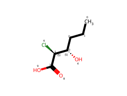 CCC[C@H](O)[C@H](Cl)C(=O)O